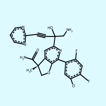 C[C@]1(C(N)=O)COc2c1cc(C(O)(C#Cc1ncccn1)CN)nc2-c1cc(Cl)c(F)cc1F